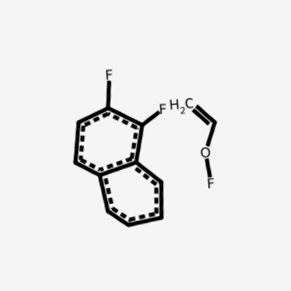 C=COF.Fc1ccc2ccccc2c1F